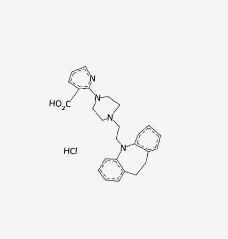 Cl.O=C(O)c1cccnc1N1CCN(CCN2c3ccccc3CCc3ccccc32)CC1